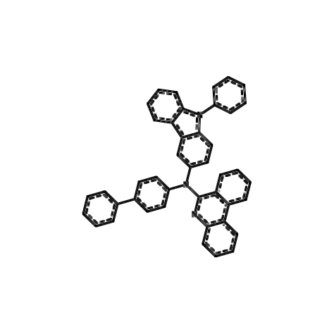 c1ccc(-c2ccc(N(c3ccc4c(c3)c3ccccc3n4-c3ccccc3)c3nc4ccccc4c4ccccc34)cc2)cc1